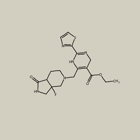 CCOC(=O)C1=C(CN2CCC3C(=O)NCC3(F)C2)NC(c2nccs2)=NC1